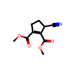 COC(=O)C1=C(C(=O)OC)C(C#N)CC1